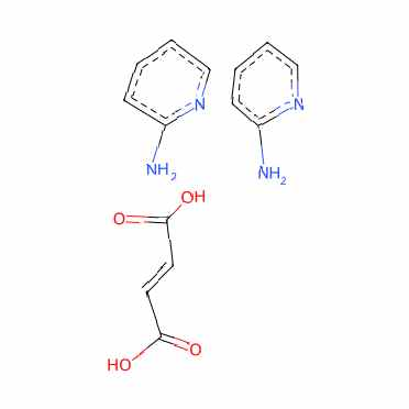 Nc1ccccn1.Nc1ccccn1.O=C(O)/C=C/C(=O)O